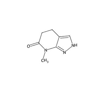 CN1C(=O)CCc2c[nH]nc21